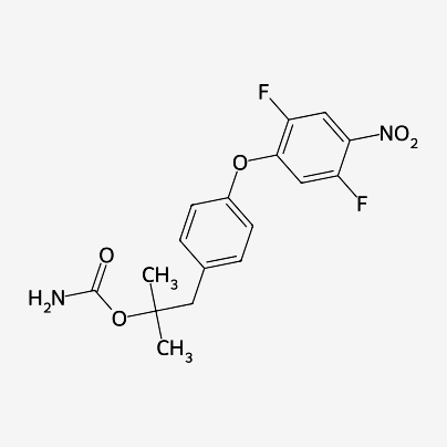 CC(C)(Cc1ccc(Oc2cc(F)c([N+](=O)[O-])cc2F)cc1)OC(N)=O